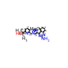 COc1cccc2nc(N)nc(-c3cn(Cc4cccc(C(C)(C)O)n4)nn3)c12